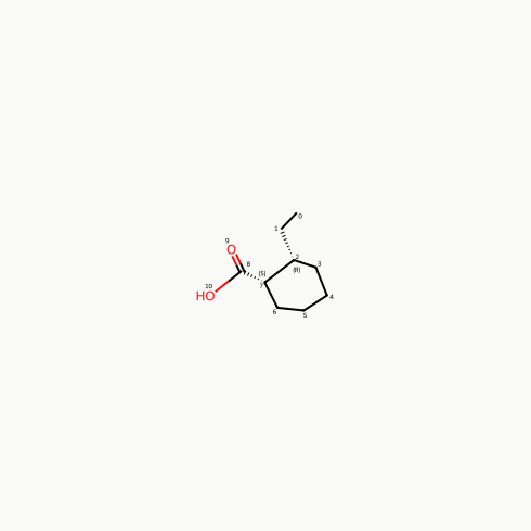 CC[C@@H]1CCCC[C@@H]1C(=O)O